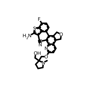 CN1CCCC1(CO)COc1ccc2c3c(c(-c4ccc(F)c5sc(N)c(C#N)c45)c(Cl)c2n1)COC3